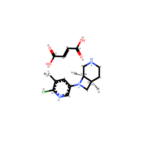 Cc1cc(N2C[C@@H]3CCNC[C@@H]32)cnc1Cl.O=C(O)C=CC(=O)O